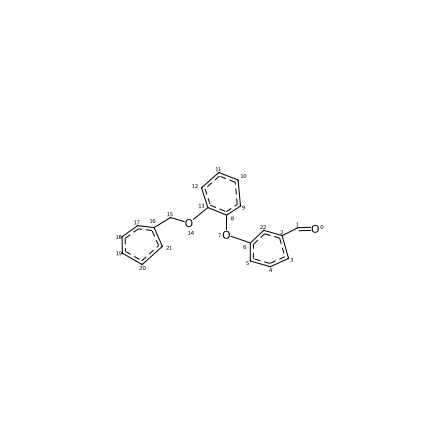 O=Cc1cccc(Oc2ccccc2OCc2ccccc2)c1